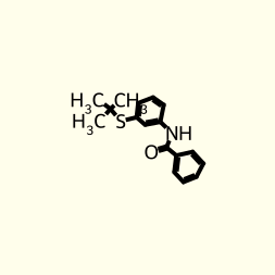 CC(C)(C)Sc1cccc(NC(=O)c2ccccc2)c1